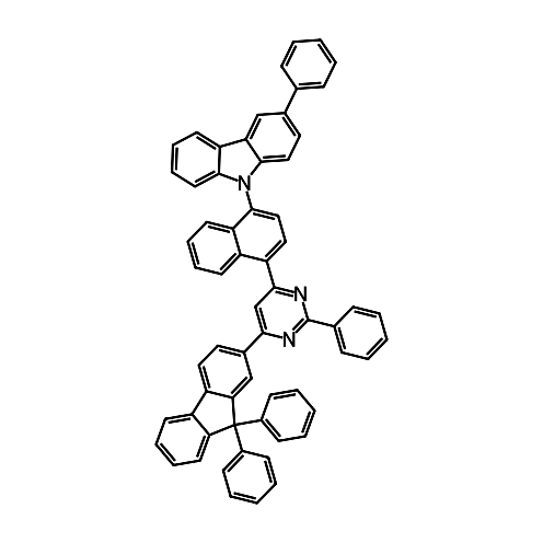 c1ccc(-c2ccc3c(c2)c2ccccc2n3-c2ccc(-c3cc(-c4ccc5c(c4)C(c4ccccc4)(c4ccccc4)c4ccccc4-5)nc(-c4ccccc4)n3)c3ccccc23)cc1